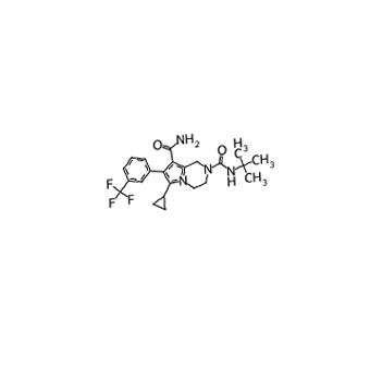 CC(C)(C)NC(=O)N1CCn2c(c(C(N)=O)c(-c3cccc(C(F)(F)F)c3)c2C2CC2)C1